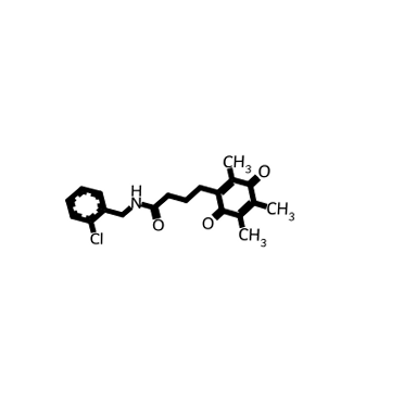 CC1=C(C)C(=O)C(CCCC(=O)NCc2ccccc2Cl)=C(C)C1=O